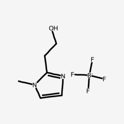 Cn1ccnc1CCO.F[B-](F)(F)F